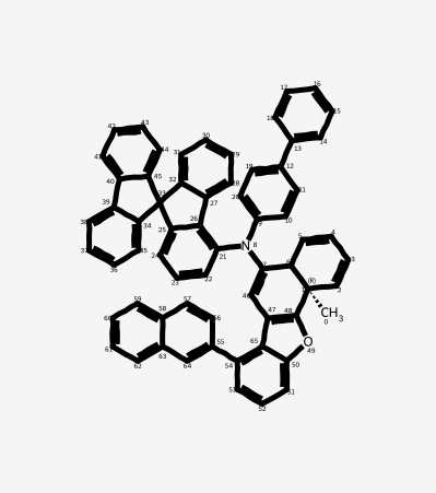 C[C@@]12C=CC=CC1C(N(c1ccc(-c3ccccc3)cc1)c1cccc3c1-c1ccccc1C31c3ccccc3-c3ccccc31)=Cc1c2oc2cccc(-c3ccc4ccccc4c3)c12